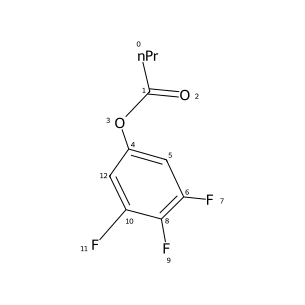 CCCC(=O)Oc1cc(F)c(F)c(F)c1